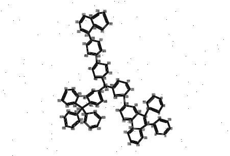 c1ccc(-c2c(-c3ccccc3)c3cc(-c4cccc(N(c5ccc(-c6ccc(-c7cccc8ccccc78)cc6)cc5)c5ccc6c(c5)-c5ccccc5C6(c5ccccc5)c5ccccc5)c4)ccc3c3ccccc23)cc1